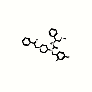 COCC(NC(=O)N(Cc1ccc(F)cc1F)C1CCN(CC(=O)c2ccccc2)CC1)c1ccccc1